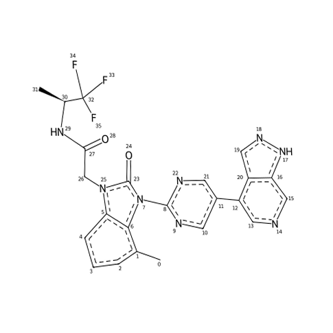 Cc1cccc2c1n(-c1ncc(-c3cncc4[nH]ncc34)cn1)c(=O)n2CC(=O)N[C@@H](C)C(F)(F)F